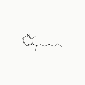 CCCCCCC(C)c1cccnc1C